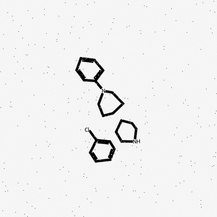 C1CCNCC1.Clc1ccccc1.c1ccc(N2CCCCC2)cc1